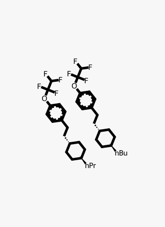 CCCC[C@H]1CC[C@H](CCc2ccc(OC(F)(F)C(F)F)cc2)CC1.CCC[C@H]1CC[C@H](CCc2ccc(OC(F)(F)C(F)F)cc2)CC1